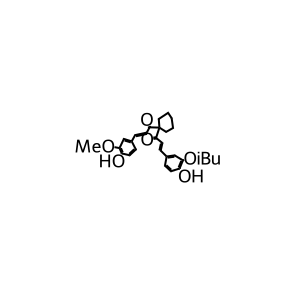 COc1cc(/C=C/C(=O)C2(C(=O)/C=C/c3ccc(O)c(OCC(C)C)c3)CCCCC2)ccc1O